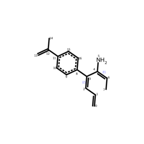 C=C/C=C(\C(N)=C/C)c1ccc(C(=C)C)cc1